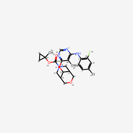 CCc1ccc(Nc2ncnc(OC3C4COCC3CN(C(=O)OC3(C)CC3)C4)c2OC)c(F)c1